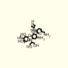 CN[C@@H]1[C@@H](O)[C@@H](O[C@H]2[C@H](NC(CO)CO)C[C@H](N)C([C@H]3OC(CN)=CC[C@H]3NC3CNC3)[C@@H]2O)OC[C@]1(C)O